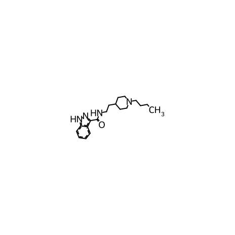 CCCCN1CCC(CCNC(=O)c2n[nH]c3ccccc23)CC1